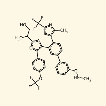 CNOc1cccc(-c2ccc(-n3cc(C(F)(F)F)nc3C)c(-c3nc(C(C)CO)oc3-c3ccc(OC(F)(F)F)cc3)c2)c1